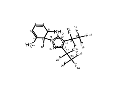 CC1=CC=CC(N)C1(I)n1cc(C(F)(F)C(F)(F)F)c(C(F)(F)C(F)(F)F)n1